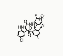 COP(=O)(c1cc(C)cc(C#N)c1)c1c(C(=O)NCc2c(F)cc[n+]([O-])c2F)[nH]c2ccc(Cl)cc12